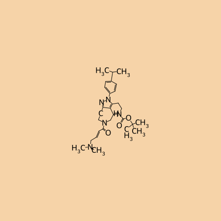 CC(C)c1ccc(-n2nc3c4c2CCN(C(=O)OC(C)(C)C)[C@@H]4CN(C(=O)/C=C/CN(C)C)CC3)cc1